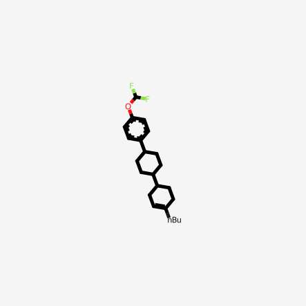 CCCCC1=CCC(C2CCC(c3ccc(OC(F)F)cc3)CC2)CC1